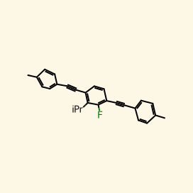 Cc1ccc(C#Cc2ccc(C#Cc3ccc(C)cc3)c(C(C)C)c2F)cc1